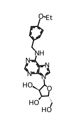 CCOc1ccc(CNc2ncnc3c2ncn3C2O[C@H](CO)[C@@H](O)[C@H]2O)cc1